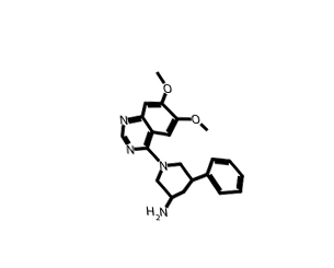 COc1cc2ncnc(N3CC(N)CC(c4ccccc4)C3)c2cc1OC